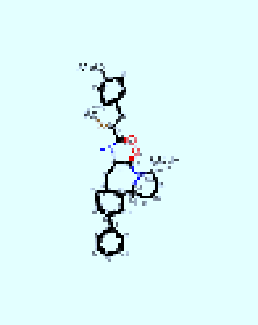 COc1ccc(C[C@H](SC(C)=O)C(=O)N[C@H]2Cc3ccc(-c4ccccc4)cc3[C@H]3CCC[C@@H](C(=O)O)N3C2=O)cc1